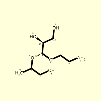 CC(CO)O[C@@H](OCCN)[C@@H](O)CO